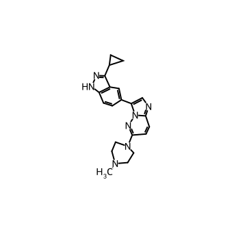 CN1CCN(c2ccc3ncc(-c4ccc5[nH]nc(C6CC6)c5c4)n3n2)CC1